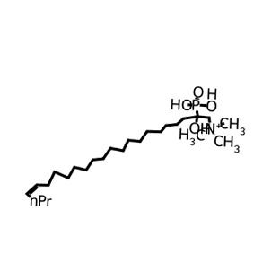 CCC/C=C\CCCCCCCCCCCCCCCCC(O)(C[N+](C)(C)C)P(=O)(O)O